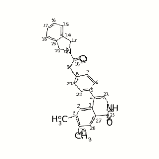 Cc1cc2c(-c3ccc(CC(=O)N4Cc5ccccc5C4)cc3)c[nH]c(=O)c2cc1C